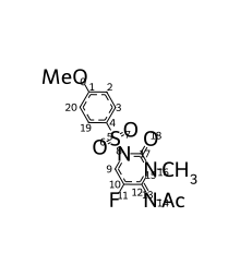 COc1ccc(S(=O)(=O)n2cc(F)/c(=N/C(C)=O)n(C)c2=O)cc1